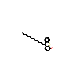 CCCCCCCCCCCCC1C2=C(Sc3ccccc31)C(=O)CC=C2